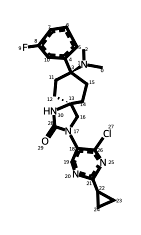 CN(C)[C@]1(c2cccc(F)c2)CC[C@]2(CC1)CN(c1cnc(C3CC3)nc1Cl)C(=O)N2